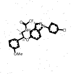 COc1cccc([C@H](Oc2ccc3c(cnn3-c3ccc(Cl)cc3)c2)[C@H](C)NC(=O)C(F)(F)F)c1